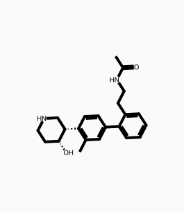 CC(=O)NCCc1ccccc1-c1ccc([C@H]2CNCC[C@H]2O)c(C)c1